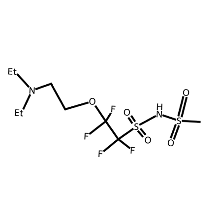 CCN(CC)CCOC(F)(F)C(F)(F)S(=O)(=O)NS(C)(=O)=O